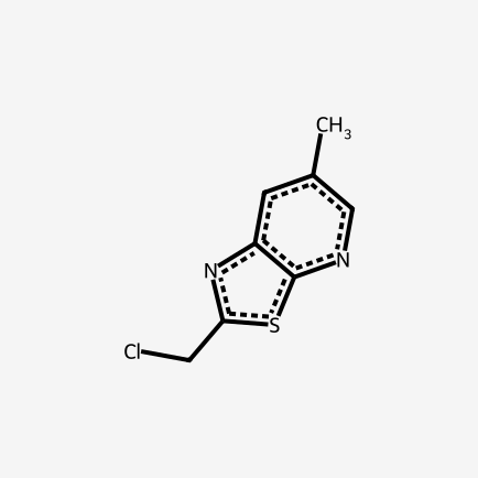 Cc1cnc2sc(CCl)nc2c1